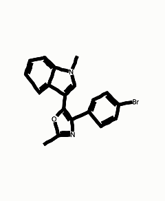 Cc1nc(-c2ccc(Br)cc2)c(-c2cn(C)c3ccccc23)o1